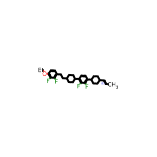 C/C=C/C1CCC(c2ccc(C3CCC(CCc4ccc(OCC)c(F)c4F)CC3)c(F)c2F)CC1